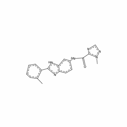 Cc1ccccc1-c1nc2ccc(NC(=O)c3ncnn3C)cc2[nH]1